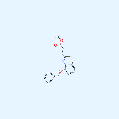 COC(=O)CCc1ccc2cccc(OCc3ccccc3)c2n1